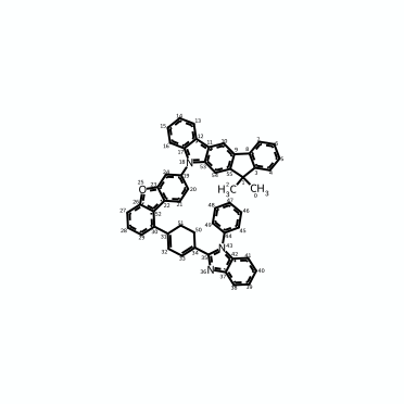 CC1(C)c2ccccc2-c2cc3c4ccccc4n(-c4ccc5c(c4)oc4cccc(C6=CC=C(c7nc8ccccc8n7-c7ccccc7)CC6)c45)c3cc21